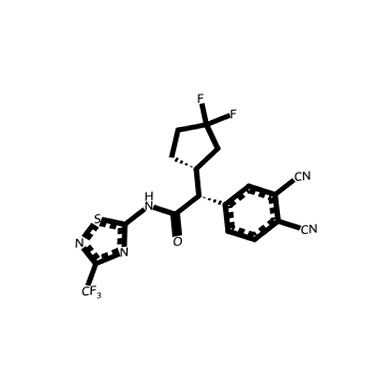 N#Cc1ccc([C@H](C(=O)Nc2nc(C(F)(F)F)ns2)[C@@H]2CCC(F)(F)C2)cc1C#N